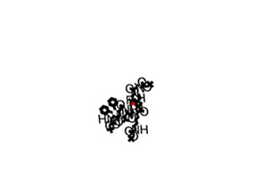 CC(C)C[C@@H](NC(=O)[C@@H](Cc1ccccc1)NC(=O)[C@@H](Cc1ccccc1)NC(=O)OC(C)(C)C)C(=O)N[C@H](CCCCNC(=O)OC(C)(C)C)C(=O)N1CC2(CCN(C(=O)[C@@H](C)NC(=O)OC(C)(C)C)CC2(F)F)C1